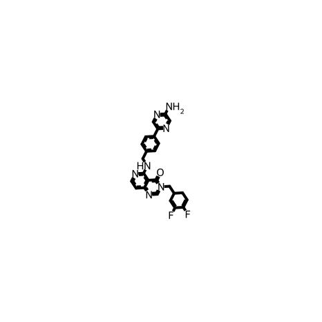 Nc1cnc(-c2ccc(CNc3nccc4ncn(CC5C=C(F)C(F)=CC5)c(=O)c34)cc2)cn1